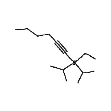 CCCCC#CS(CC)(C(C)C)C(C)C